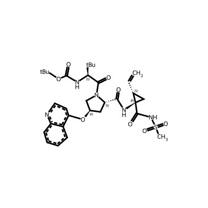 C=C[C@@H]1C[C@]1(NC(=O)[C@@H]1C[C@@H](Oc2ccnc3ccccc23)CN1C(=O)[C@@H](NC(=O)OC(C)(C)C)C(C)(C)C)C(=O)NS(C)(=O)=O